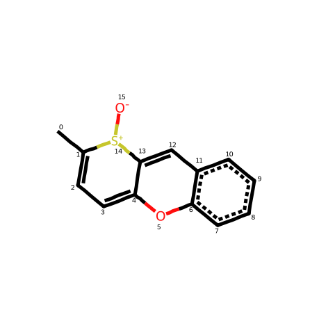 CC1=CC=C2Oc3ccccc3C=C2[S+]1[O-]